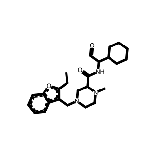 CCc1oc2ccccc2c1CN1CCN(C)C(C(=O)NC(C=O)C2CCCCC2)C1